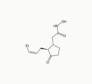 CC/C=C\C[C@@H]1C(=O)CCC1CC(=O)NO